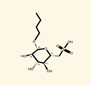 CCCCO[C@@H]1O[C@H](CS(=O)(=O)O)[C@@H](O)[C@H](O)[C@H]1O